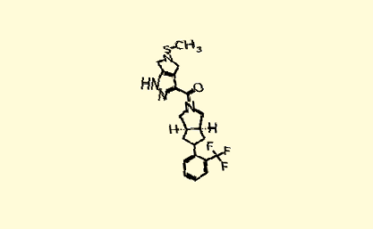 CSN1Cc2[nH]nc(C(=O)N3C[C@H]4CC(c5ccccc5C(F)(F)F)C[C@H]4C3)c2C1